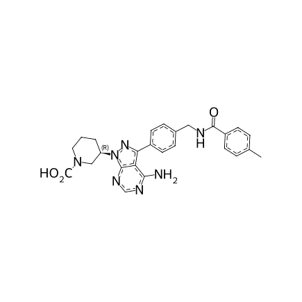 Cc1ccc(C(=O)NCc2ccc(-c3nn([C@@H]4CCCN(C(=O)O)C4)c4ncnc(N)c34)cc2)cc1